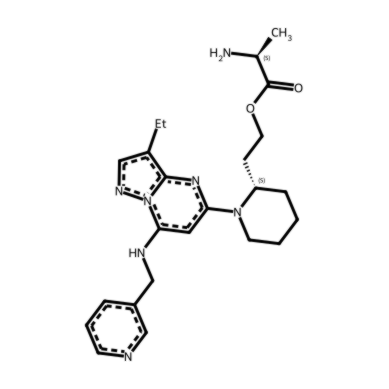 CCc1cnn2c(NCc3cccnc3)cc(N3CCCC[C@H]3CCOC(=O)[C@H](C)N)nc12